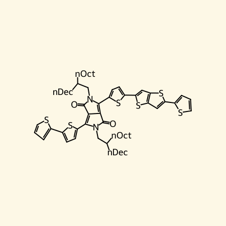 CCCCCCCCCCC(CCCCCCCC)CN1C(=O)C2=C(c3ccc(-c4cc5sc(-c6cccs6)cc5s4)s3)N(CC(CCCCCCCC)CCCCCCCCCC)C(=O)C2=C1c1ccc(-c2cccs2)s1